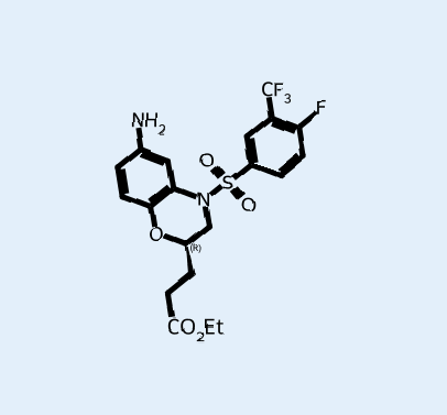 CCOC(=O)CC[C@@H]1CN(S(=O)(=O)c2ccc(F)c(C(F)(F)F)c2)c2cc(N)ccc2O1